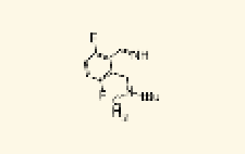 CN(Cc1c(F)ccc(F)c1C=N)C(C)(C)C